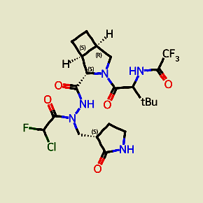 CC(C)(C)C(NC(=O)C(F)(F)F)C(=O)N1C[C@@H]2CC[C@@H]2[C@H]1C(=O)NN(C[C@@H]1CCNC1=O)C(=O)C(F)Cl